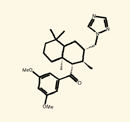 COc1cc(OC)cc(C(=O)[C@H]2[C@H](C)[C@@H](Cn3cncn3)CC3C(C)(C)CCC[C@@]32C)c1